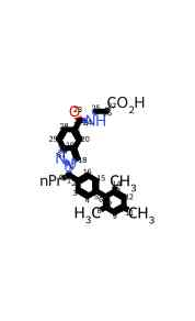 CCCC(c1ccc(-c2c(C)cc(C)cc2C)cc1)n1cc2cc(C(=O)NCCC(=O)O)ccc2n1